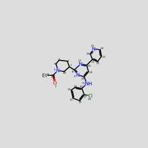 CCC(=O)N1CCCC(c2nc(Nc3ccccc3Cl)cc(-c3cccnc3)n2)C1